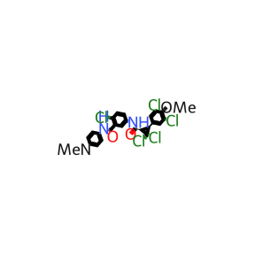 CNc1ccc(NC(=O)c2cc(NC(=O)[C@@H]3[C@@H](c4cc(Cl)c(OC)c(Cl)c4)C3(Cl)Cl)ccc2Cl)cc1